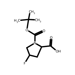 CC(C)(C)OC(=O)N1CC(F)CC1C(=O)O